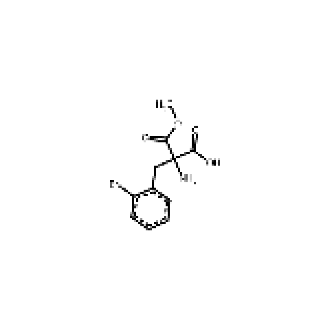 COC(=O)C(N)(Cc1ccccc1Br)C(=O)O